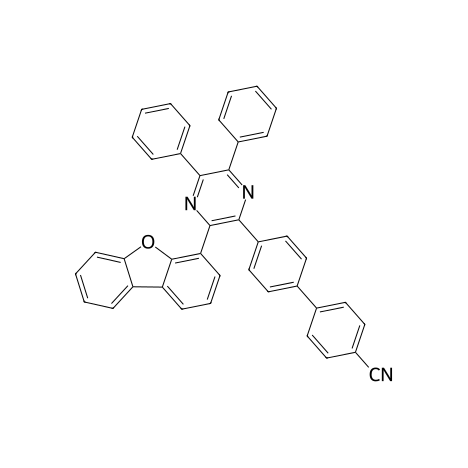 N#Cc1ccc(-c2ccc(-c3nc(-c4ccccc4)c(-c4ccccc4)nc3-c3cccc4c3oc3ccccc34)cc2)cc1